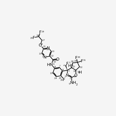 NC1=N[C@](CF)(c2cc(NC(=O)c3cnc(OCC(F)F)cn3)ccc2F)[C@H]2CC(F)(F)C[C@H]2O1